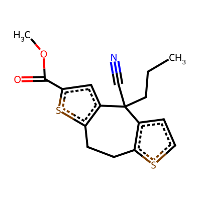 CCCC1(C#N)c2ccsc2CCc2sc(C(=O)OC)cc21